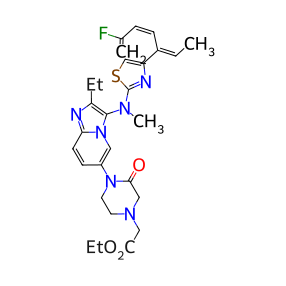 C=C(F)/C=C\C(=C/C)c1csc(N(C)c2c(CC)nc3ccc(N4CCN(CC(=O)OCC)CC4=O)cn23)n1